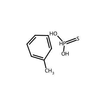 Cc1ccccc1.O[PH](O)=S